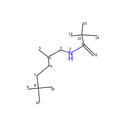 C=C(NCC(C)CCC(C)(C)C)C(C)(C)C